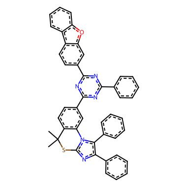 CC1(C)Sc2nc(-c3ccccc3)c(-c3ccccc3)n2-c2cc(-c3nc(-c4ccccc4)nc(-c4ccc5c(c4)oc4ccccc45)n3)ccc21